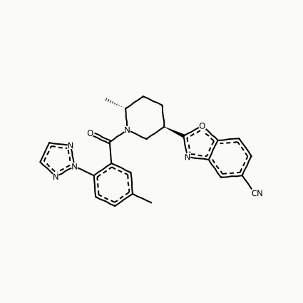 Cc1ccc(-n2nccn2)c(C(=O)N2C[C@H](c3nc4cc(C#N)ccc4o3)CC[C@H]2C)c1